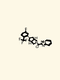 O=C(c1nc2ccccn2n1)N1C[C@H]2C[C@@H](c3cc(F)ccc3C(F)(F)F)C[C@H]2C1